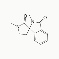 CN1CCC2(C1=O)c1ccccc1C(=O)N2C